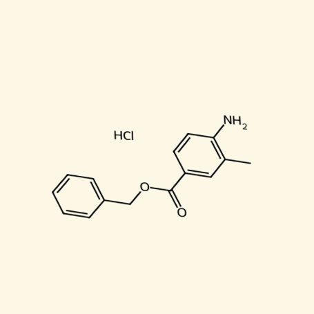 Cc1cc(C(=O)OCc2ccccc2)ccc1N.Cl